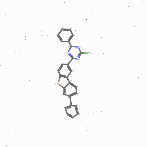 ClC1=NC(c2ccc3sc4cc(-c5ccccc5)ccc4c3c2)=NC(c2ccccc2)N1